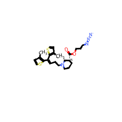 Cc1ccsc1C(=CCCN1CCC[C@@H](C(=O)OCCCN=[N+]=[N-])C1)c1sccc1C